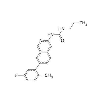 CCCNC(=O)Nc1cc2ccc(-c3cc(F)ccc3C)cc2cn1